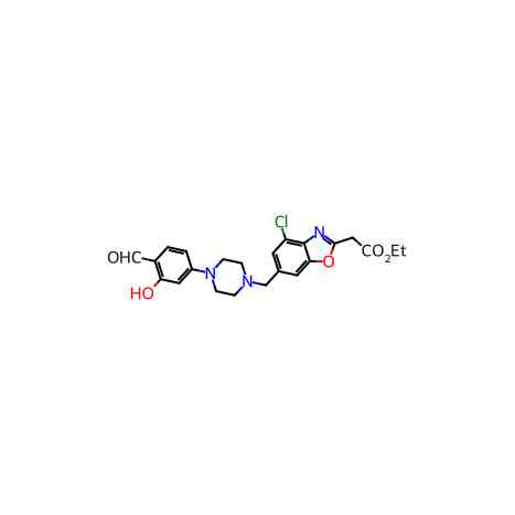 CCOC(=O)Cc1nc2c(Cl)cc(CN3CCN(c4ccc(C=O)c(O)c4)CC3)cc2o1